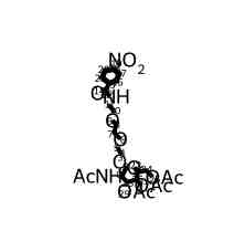 CC(=O)NC1C(OCCOCCOCCNC(=O)c2ccc([N+](=O)[O-])cc2)OC(COC(C)=O)C(OC(C)=O)C1OC(C)=O